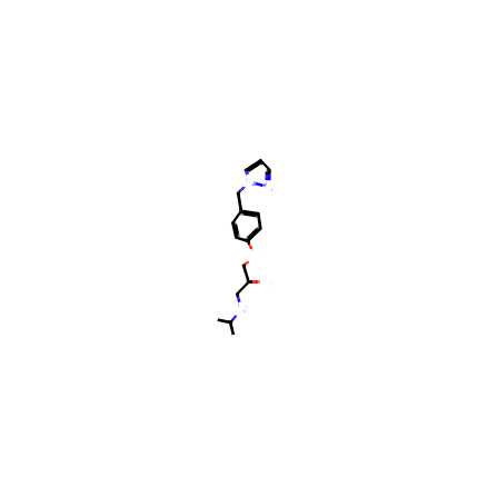 CC(C)NCC(O)COc1ccc(Cn2cccn2)cc1